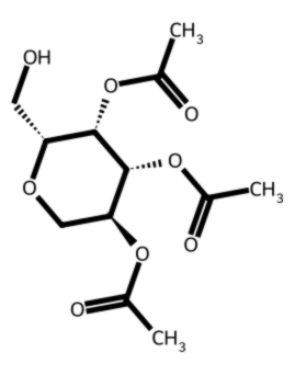 CC(=O)O[C@@H]1[C@H](OC(C)=O)[C@@H](OC(C)=O)CO[C@@H]1CO